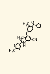 Cc1ncc(C(=O)Nc2cc(C#N)cc(CN3CCN(C(=O)C4CCCC4)[C@@H](C)C3)c2C)cn1